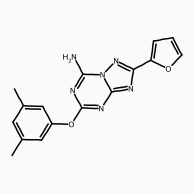 Cc1cc(C)cc(Oc2nc(N)n3nc(-c4ccco4)nc3n2)c1